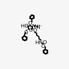 [N-]=[N+]=N[C@H]1[C@@H](OCCCCCCNC(=O)OCc2ccccc2)O[C@H](COCc2ccccc2)[C@@H](O)[C@@H]1OCc1ccccc1